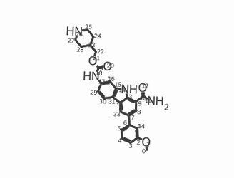 COc1cccc(-c2cc(C(N)=O)c3[nH]c4cc(NC(=O)OCC5CCNCC5)ccc4c3c2)c1